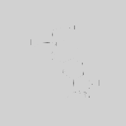 CC(C)(C)C[Si](C)(C)Oc1ccc2[nH]nc(I)c2c1